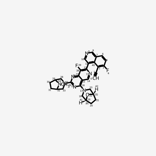 C#Cc1c(F)ccc2cncc(-c3ncc4c(N5C[C@H]6CC[C@@H](C5)O6)nc(N5CC6CCC(C5)N6C)nc4c3F)c12